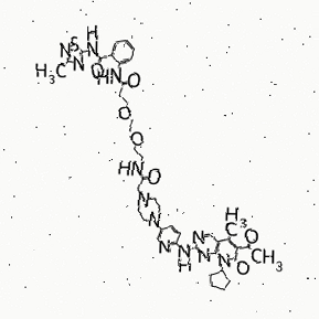 CC(=O)c1c(C)c2cnc(Nc3ccc(N4CCN(CC(=O)NCCOCCOCCC(=O)Nc5ccccc5C(=O)Nc5nc(C)ns5)CC4)cn3)nc2n(C2CCCC2)c1=O